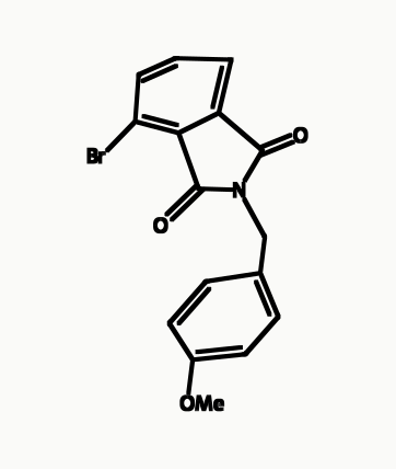 COc1ccc(CN2C(=O)c3cccc(Br)c3C2=O)cc1